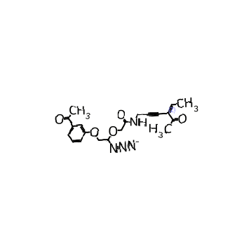 C/C=C(/C#CCNC(=O)COC(COc1cccc(C(C)=O)c1)N=[N+]=[N-])C(C)=O